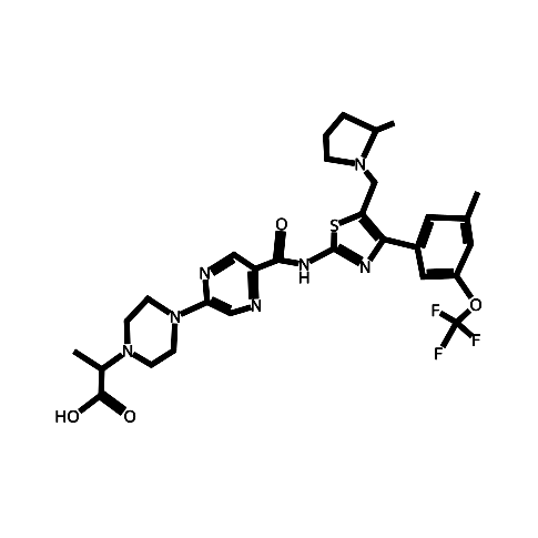 Cc1cc(OC(F)(F)F)cc(-c2nc(NC(=O)c3cnc(N4CCN(C(C)C(=O)O)CC4)cn3)sc2CN2CCCC2C)c1